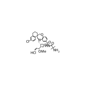 C=C[C@@H](OC)[C@@H]1CC[C@H]1CN1C[C@@]2(CCCc3cc(Cl)ccc32)COc2ccc(S(=O)(=O)NC(=O)C(C)(C)N)cc21.Cl